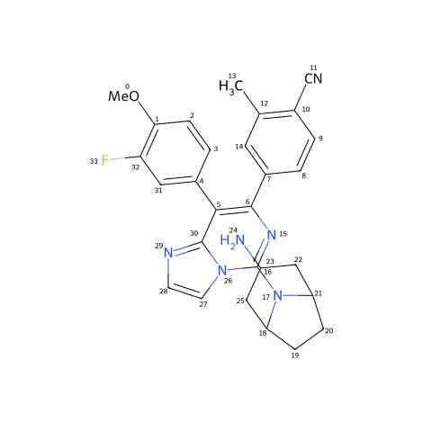 COc1ccc(-c2c(-c3ccc(C#N)c(C)c3)nc(N3C4CCC3CC(N)C4)n3ccnc23)cc1F